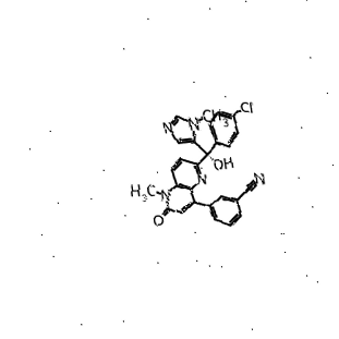 Cn1cncc1[C@@](O)(c1ccc(Cl)cc1)c1ccc2c(n1)c(-c1cccc(C#N)c1)cc(=O)n2C